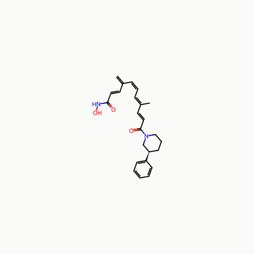 C=C(\C=C/C=C(C)/C=C/C(=O)N1CCC[C@@H](c2ccccc2)C1)/C=C/C(=O)NO